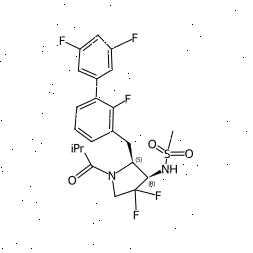 CC(C)C(=O)N1CC(F)(F)[C@H](NS(C)(=O)=O)[C@@H]1Cc1cccc(-c2cc(F)cc(F)c2)c1F